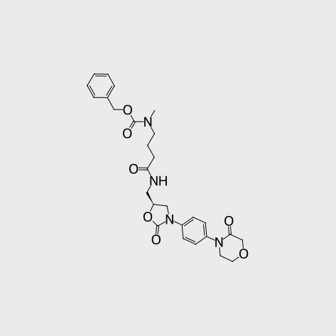 CN(CCCC(=O)NC[C@H]1CN(c2ccc(N3CCOCC3=O)cc2)C(=O)O1)C(=O)OCc1ccccc1